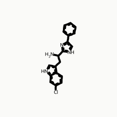 NC(Cc1c[nH]c2cc(Cl)ccc12)c1nc(-c2ccccc2)c[nH]1